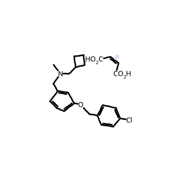 CN(Cc1cccc(OCc2ccc(Cl)cc2)c1)CC1CCC1.O=C(O)/C=C\C(=O)O